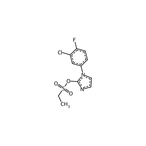 CCS(=O)(=O)Oc1nccn1-c1ccc(F)c(Cl)c1